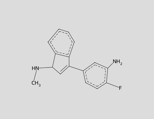 CNC1C=C(c2ccc(F)c(N)c2)c2ccccc21